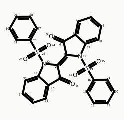 O=C1/C(=C2/C(=O)c3ccccc3N2S(=O)(=O)c2ccccc2)N(S(=O)(=O)c2ccccc2)c2ccccc21